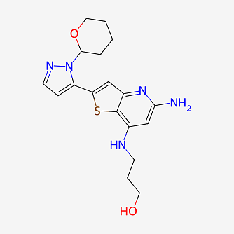 Nc1cc(NCCCO)c2sc(-c3ccnn3C3CCCCO3)cc2n1